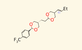 CC/C=C/C1COC(CC[C@H]2CO[C@H](c3ccc(C(F)(F)F)cc3)OC2)OC1